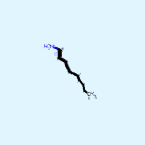 CCCCCCC/C=C/N